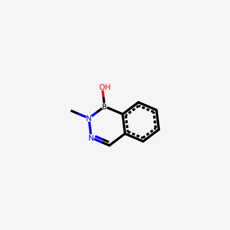 CN1N=Cc2ccccc2B1O